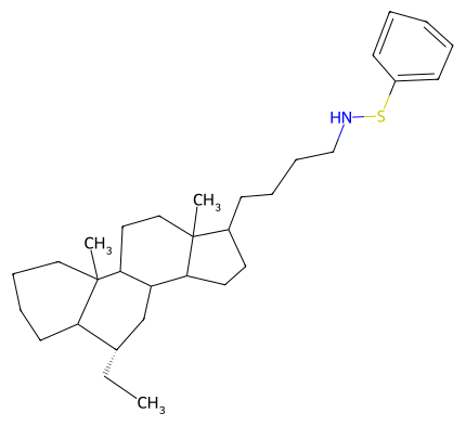 CC[C@H]1CC2C3CCC(CCCCNSc4ccccc4)C3(C)CCC2C2(C)CCCCC12